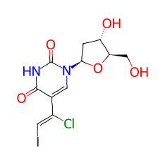 O=c1[nH]c(=O)n([C@H]2C[C@H](O)[C@@H](CO)O2)cc1C(Cl)=CI